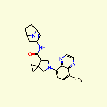 O=C(NC1CC2CCC(C1)N2)C1CN(c2ccc(C(F)(F)F)c3nccnc23)CC12CC2